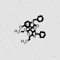 CCCc1nn(-c2ccccc2)c2c1[C@@](C(=O)OCC)(C(F)(F)F)[C@@]1(O2)C(=O)N(Cc2ccccc2)c2ccc(Cl)cc21